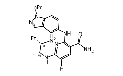 CCCn1ncc2cc(Nc3nc(N[C@H](C)[C@@H](N)CC)c(F)cc3C(N)=O)ccc21